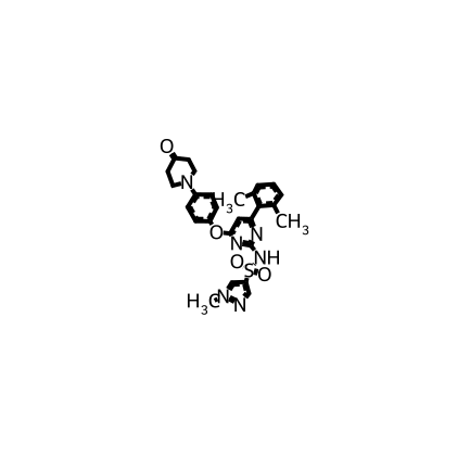 Cc1cccc(C)c1-c1cc(Oc2ccc(N3CCC(=O)CC3)cc2)nc(NS(=O)(=O)c2cnn(C)c2)n1